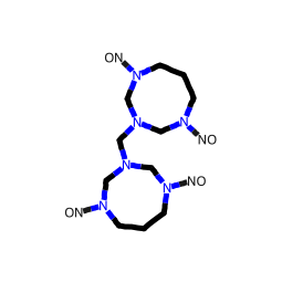 O=NN1CCCN(N=O)CN(CN2CN(N=O)CCCN(N=O)C2)C1